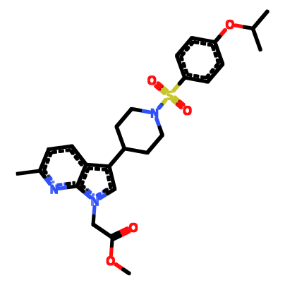 COC(=O)Cn1cc(C2CCN(S(=O)(=O)c3ccc(OC(C)C)cc3)CC2)c2ccc(C)nc21